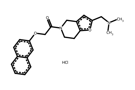 CN(C)Cc1cc2c(o1)CCN(C(=O)COc1ccc3ccccc3c1)C2.Cl